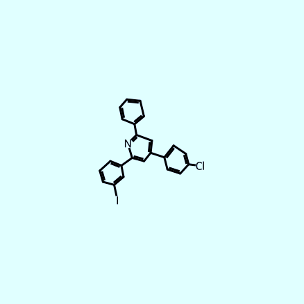 Clc1ccc(-c2cc(-c3ccccc3)nc(-c3cccc(I)c3)c2)cc1